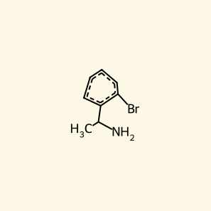 CC(N)c1ccccc1Br